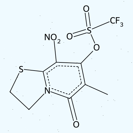 Cc1c(OS(=O)(=O)C(F)(F)F)c([N+](=O)[O-])c2n(c1=O)CCS2